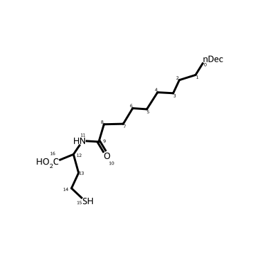 CCCCCCCCCCCCCCCCCCC(=O)NC(CCS)C(=O)O